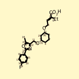 CCC(=CCO[C@@H]1CCC[C@H](OCc2nc(-c3ccc(F)cc3)oc2C)C1)C(=O)O